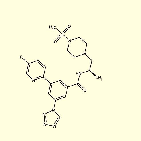 C[C@H](CN1CCN(S(C)(=O)=O)CC1)NC(=O)c1cc(-c2ccc(F)cn2)cc(-n2cnnn2)c1